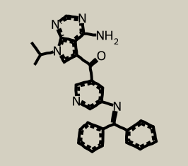 CC(C)n1cc(C(=O)c2cncc(N=C(c3ccccc3)c3ccccc3)c2)c2c(N)ncnc21